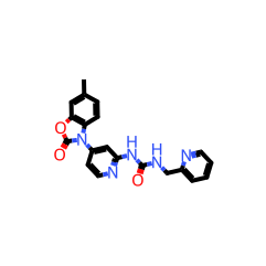 Cc1ccc2c(c1)oc(=O)n2-c1ccnc(NC(=O)NCc2ccccn2)c1